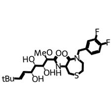 CO[C@@H](C(=O)NC1CSCCN(Cc2ccc(F)c(F)c2)C1=O)[C@H](O)[C@@H](O)[C@H](O)C=CC(C)(C)C